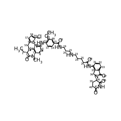 CC[C@@H]1C(=O)N(C)c2cnc(Nc3ccc(C(=O)NCCCNCCCCC(=O)Nc4cccc5c4CN(C4CCC(=O)NC4=O)C5=O)cc3OC)nc2N1Cc1ccc(Cl)s1